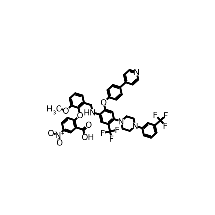 COc1cccc(CNc2cc(C(F)(F)F)c(N3CCN(c4cccc(C(F)(F)F)c4)CC3)cc2Oc2ccc(-c3ccncc3)cc2)c1Oc1ccc([N+](=O)[O-])cc1C(=O)O